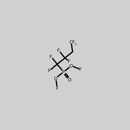 O=P(OF)(OF)C(F)(F)C(F)(F)CC(F)(F)F